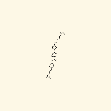 CCCCCCOc1ccc(-c2cnc(C(=O)Oc3ccc(CCCCC)cc3)cn2)cc1